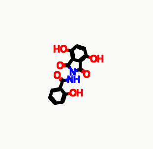 O=C(NN1C(=O)c2c(O)ccc(O)c2C1=O)c1ccccc1O